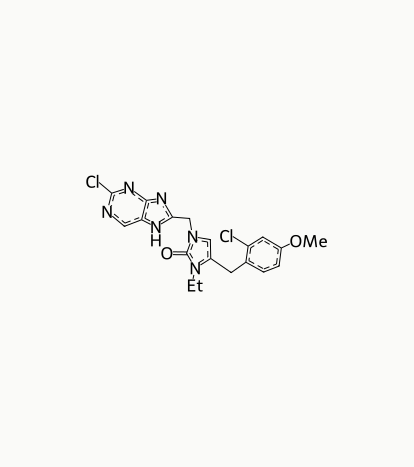 CCn1c(Cc2ccc(OC)cc2Cl)cn(Cc2nc3nc(Cl)ncc3[nH]2)c1=O